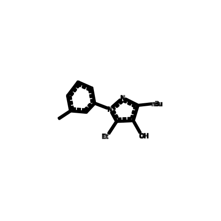 CCCCc1nn(-c2cccc(C)c2)c(CC)c1O